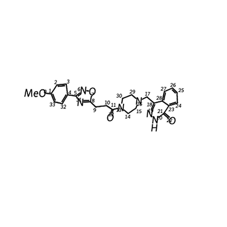 COc1ccc(-c2noc(CCC(=O)N3CCN(Cc4n[nH]c(=O)c5ccccc45)CC3)n2)cc1